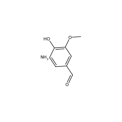 COc1cc(C=O)ccc1O.N